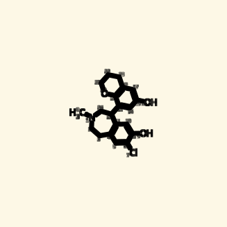 CN1CCc2cc(Cl)c(O)cc2C(c2cc(O)cc3c2OCCC3)C1